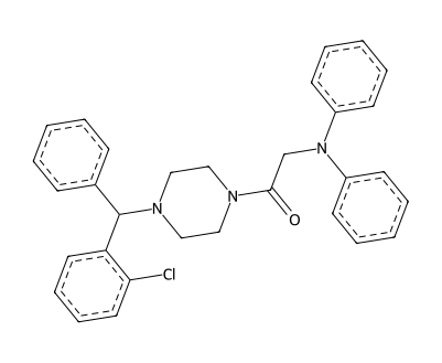 O=C(CN(c1ccccc1)c1ccccc1)N1CCN(C(c2ccccc2)c2ccccc2Cl)CC1